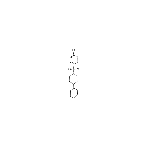 CCc1ccc(S(=O)(=O)N2CCC(C3C=CCC=C3)CC2)cc1